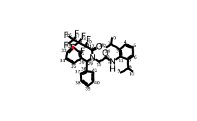 CC(C)c1cccc(C(C)C)c1NC(=O)CN(C(=O)C(F)(F)C(F)(F)C(F)(F)F)C(c1ccccc1)c1ccccc1